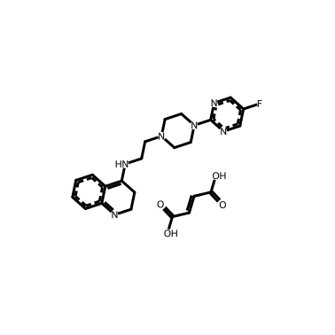 Fc1cnc(N2CCN(CCNC3=c4ccccc4=NCC3)CC2)nc1.O=C(O)C=CC(=O)O